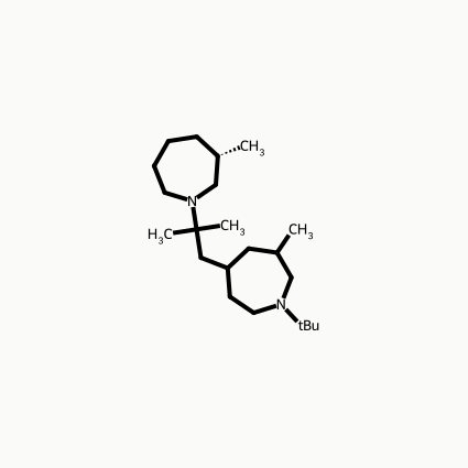 CC1CC(CC(C)(C)N2CCCC[C@H](C)C2)CCN(C(C)(C)C)C1